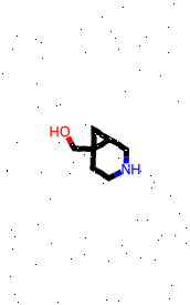 OCC12CCNCC1C2